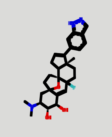 CN(C)[C@H]1C[C@@]23CC[C@]4(O2)C2CC=C(c5ccc6cn[nH]c6c5)[C@@]2(C)CCC4(F)C=C3[C@@H](O)[C@@H]1O